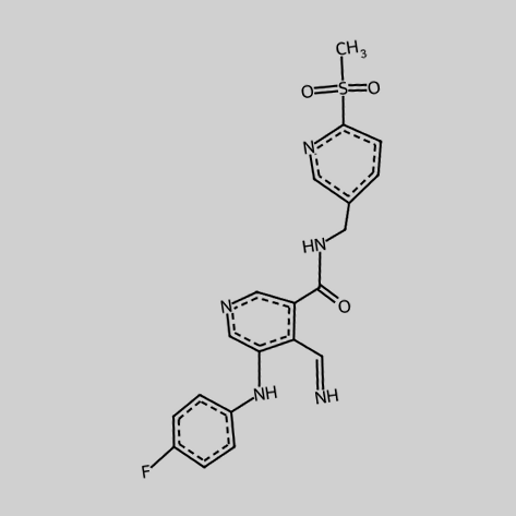 CS(=O)(=O)c1ccc(CNC(=O)c2cncc(Nc3ccc(F)cc3)c2C=N)cn1